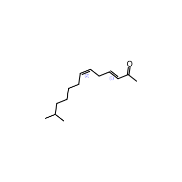 CC(=O)/C=C/C/C=C\CCCCC(C)C